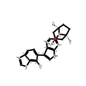 N[C@H]1C[C@H]2CC[C@@H](C1)N2c1cnc2c(-c3ccc4ncsc4c3Cl)c[nH]c2n1